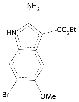 CCOC(=O)c1c(N)[nH]c2cc(Br)c(OC)cc12